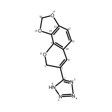 C1=C(c2nnn[nH]2)COc2c1ccc1c2OCO1